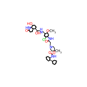 COc1cc(NC(=O)CCN2CCC(C)(OC(=O)Nc3ccccc3-c3ccccc3)CC2)c(Cl)cc1CNC[C@@H](O)c1ccc(O)c2[nH]c(=O)ccc12